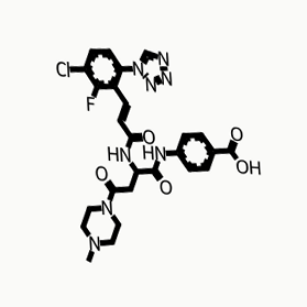 CN1CCN(C(=O)CC(NC(=O)/C=C/c2c(-n3cnnn3)ccc(Cl)c2F)C(=O)Nc2ccc(C(=O)O)cc2)CC1